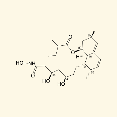 CCC(C)C(=O)O[C@H]1C[C@@H](C)C=C2C=C[C@H](C)[C@H](CC[C@@H](O)C[C@@H](O)CC(=O)NO)[C@H]21